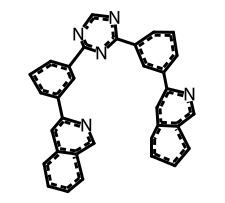 c1cc(-c2cc3ccccc3cn2)cc(-c2ncnc(-c3cccc(-c4cc5ccccc5cn4)c3)n2)c1